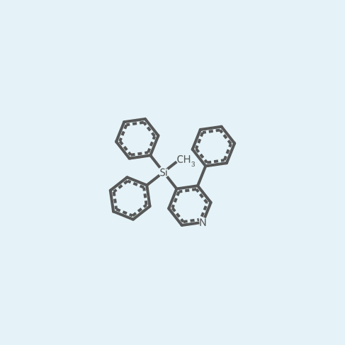 C[Si](c1ccccc1)(c1ccccc1)c1ccncc1-c1ccccc1